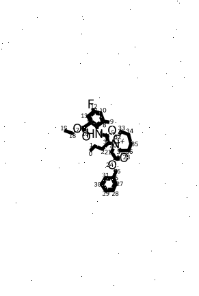 CCCC(C(=O)Nc1c(C)cc(F)cc1C(=O)OCC)[N+]1(CC(=O)OCc2ccccc2)CCCCCC1